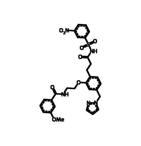 COc1cccc(C(=O)NCCOc2cc(Cn3cccn3)ccc2CCC(=O)NS(=O)(=O)c2cccc([N+](=O)[O-])c2)c1